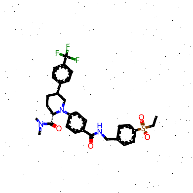 CCS(=O)(=O)c1ccc(CNC(=O)c2ccc(N3CC(c4ccc(C(F)(F)F)cc4)CC[C@H]3C(=O)N(C)C)cc2)cc1